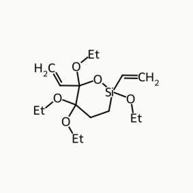 C=CC1(OCC)O[Si](C=C)(OCC)CCC1(OCC)OCC